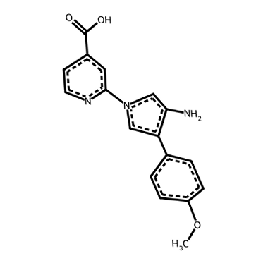 COc1ccc(-c2cn(-c3cc(C(=O)O)ccn3)cc2N)cc1